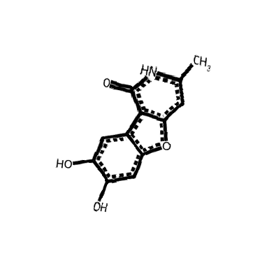 Cc1cc2oc3cc(O)c(O)cc3c2c(=O)[nH]1